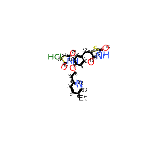 CCc1ccc(CCOc2ccc(CC3SC(=O)NC3=O)cc2)nc1.Cl.O=C1CSC(=O)N1